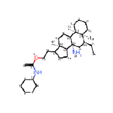 C=C(NC1CCCCC1)OCCC1CCC2[C@]1(C)CCC1[C@@]2(N)C[C@H](CC)[C@@H]2CCCC[C@]12C